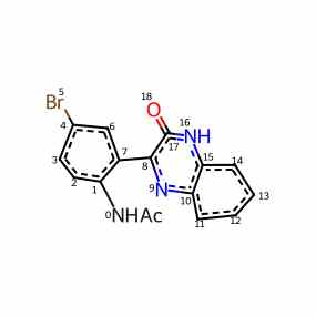 CC(=O)Nc1ccc(Br)cc1-c1nc2ccccc2[nH]c1=O